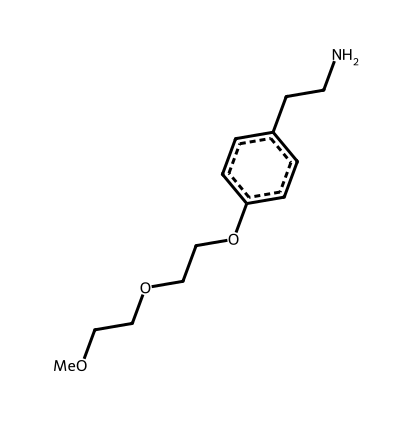 COCCOCCOc1ccc(CCN)cc1